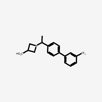 CC(c1ccc(-c2cccc(C(F)(F)F)c2)cc1)N1CC(C(=O)O)C1